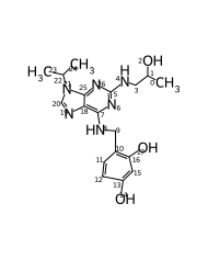 CC(O)CNc1nc(NCc2ccc(O)cc2O)c2ncn(C(C)C)c2n1